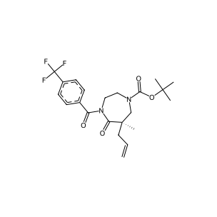 C=CC[C@]1(C)CN(C(=O)OC(C)(C)C)CCN(C(=O)c2ccc(C(F)(F)F)cc2)C1=O